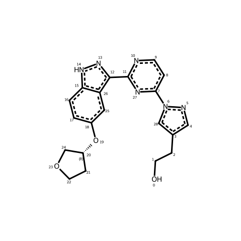 OCCc1cnn(-c2ccnc(-c3n[nH]c4ccc(O[C@@H]5CCOC5)cc34)n2)c1